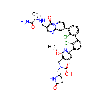 COc1nc(-c2cccc(-c3cccc(-c4ccn5c(=O)c(CN[C@@H](C)C(N)=O)cnc5c4)c3Cl)c2Cl)ccc1CN(C[C@@H]1CCC(=O)N1)C(=O)O